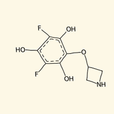 Oc1c(F)c(O)c(OC2CNC2)c(O)c1F